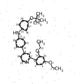 CCOc1ccc(-c2cc(-c3ccc(Nc4ccc(OC(C)(C)C)cc4)cc3)ccn2)c(OCC)c1